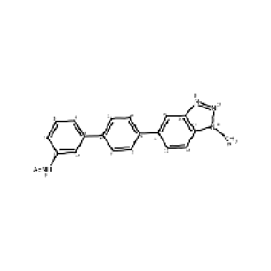 CC(=O)Nc1cccc(-c2ccc(-c3ccc4c(c3)nnn4C)cc2)c1